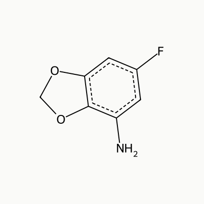 Nc1cc(F)cc2c1OCO2